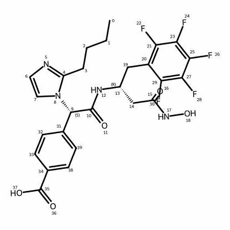 CCCCc1nccn1[C@H](C(=O)N[C@@H](CC(=O)NO)Cc1c(F)c(F)c(F)c(F)c1F)c1ccc(C(=O)O)cc1